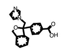 O=C(O)c1ccc(C2(Cn3ccnc3)OCc3ccccc32)cc1